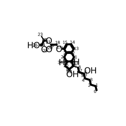 CCCCC[C@H](O)CC[C@@H]1[C@H]2Cc3cccc(OCC(=O)O[C@H](C)C(=O)O)c3C[C@H]2C[C@H]1O